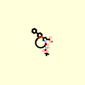 COC(=O)C1CC2(c3ccc(-c4ccccc4)cc3)CN1C(=O)C(NC(=O)OC(C)(C)C)CCCCC/C=C\CS2